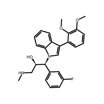 CNC[C@@H](O)[C@H](c1cccc(F)c1)n1cc(-c2cccc(OC)c2OC)c2ccccc21